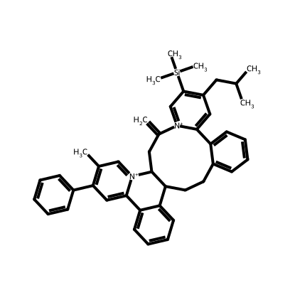 C=C1CC2C(CCc3ccccc3-c3cc(CC(C)C)c([Si](C)(C)C)c[n+]31)c1ccccc1-c1cc(-c3ccccc3)c(C)c[n+]12